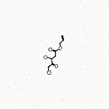 C=CCOC(=O)CC(Cl)C(=O)CCl